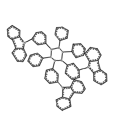 c1ccc(B2N(c3ccccc3)B(c3cccc(-n4c5ccccc5c5ccccc54)c3)N(c3cccc(-n4c5ccccc5c5ccccc54)c3)B(c3ccccc3)N2c2cccc(-n3c4ccccc4c4ccccc43)c2)cc1